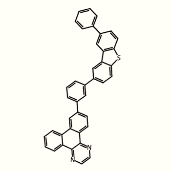 c1ccc(-c2ccc3sc4ccc(-c5cccc(-c6ccc7c(c6)c6ccccc6c6nccnc76)c5)cc4c3c2)cc1